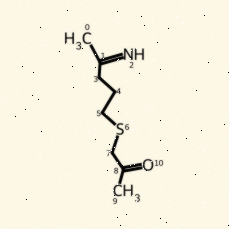 CC(=N)CCCSCC(C)=O